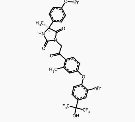 CCCc1cc(C(O)(C(F)(F)F)C(F)(F)F)ccc1Oc1ccc(C(=O)CN2C(=O)N[C@@](C)(c3ccc(OC(C)C)cc3)C2=O)c(C)c1